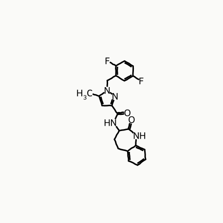 Cc1cc(C(=O)NC2CCc3ccccc3NC2=O)nn1Cc1cc(F)ccc1F